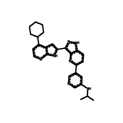 CC(C)Nc1cncc(-c2ccc3[nH]nc(-c4cc5c(N6CCCCC6)ccnc5[nH]4)c3n2)c1